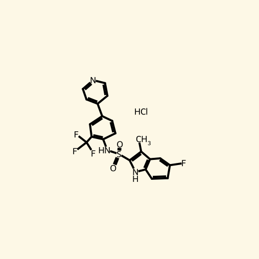 Cc1c(S(=O)(=O)Nc2ccc(-c3ccncc3)cc2C(F)(F)F)[nH]c2ccc(F)cc12.Cl